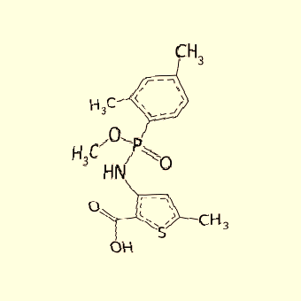 COP(=O)(Nc1cc(C)sc1C(=O)O)c1ccc(C)cc1C